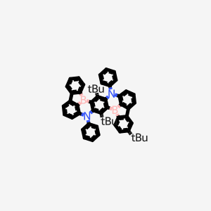 CC(C)(C)c1ccc2c(c1)-c1cccc3c1B2c1c(c(C(C)(C)C)c2c(c1C(C)(C)C)N(c1ccccc1)c1cccc4c1B2c1ccccc1-4)N3c1ccccc1